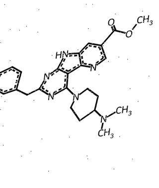 COC(=O)c1cnc2c(c1)[nH]c1nc(Cc3ccccc3)nc(N3CCC(N(C)C)CC3)c12